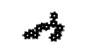 c1ccc(-c2nc(-c3ccc4c(c3)sc3ccc(-c5cccc6c5ccc5ccccc56)cc34)nc(-c3cccc4c3sc3c5ccccc5ccc43)n2)cc1